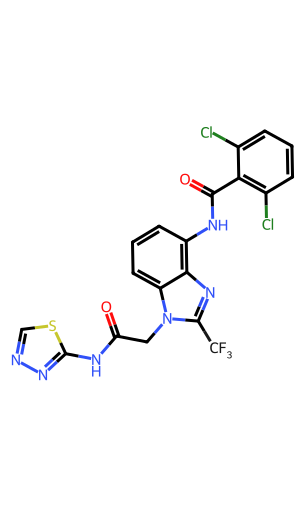 O=C(Cn1c(C(F)(F)F)nc2c(NC(=O)c3c(Cl)cccc3Cl)cccc21)Nc1nncs1